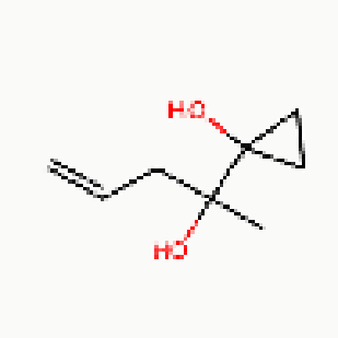 C=CCC(C)(O)C1(O)CC1